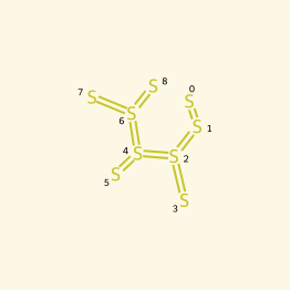 S=S=S(=S)=S(=S)=S(=S)=S